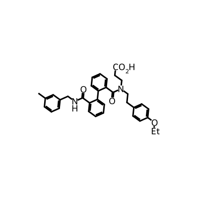 CCOc1ccc(CCN(CCC(=O)O)C(=O)c2ccccc2-c2ccccc2C(=O)NCc2cccc(C)c2)cc1